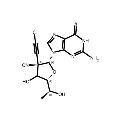 C[C@H](O)[C@H]1O[C@@H](n2cnc3c(=S)[nH]c(N)nc32)[C@](C#CCl)(N=O)C1O